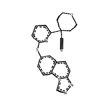 N#CC1(c2cccc(Sc3ccc4c(ccc5nncn54)c3)n2)CCOCC1